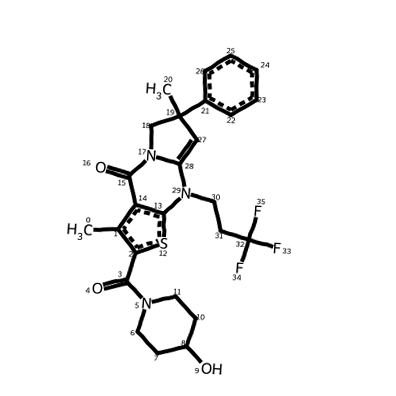 Cc1c(C(=O)N2CCC(O)CC2)sc2c1C(=O)N1CC(C)(c3ccccc3)C=C1N2CCC(F)(F)F